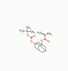 C=C(C)C(=O)OC12CC3CC(CC(OC(=O)OC(C)(C)C)(C3)C1)C2